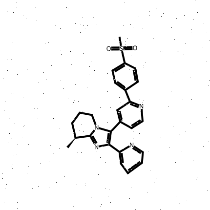 C[C@H]1CCCn2c1nc(-c1ccccn1)c2-c1ccnc(-c2ccc(S(C)(=O)=O)cc2)c1